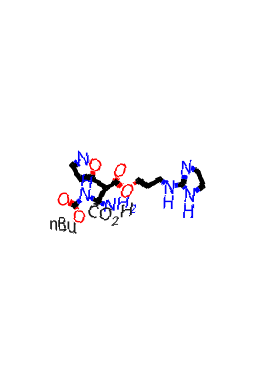 CCCCOC(=O)NC(N)(C(=O)O)C(C(=O)OCCCNC1=NCCN1)c1ccno1